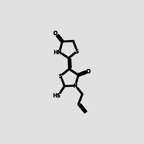 C=CCN1C(=O)C(=C2NC(=O)CS2)SC1S